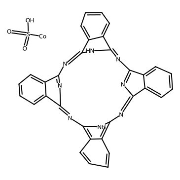 O=[S](=O)(O)[Co].c1ccc2c(c1)-c1nc-2nc2[nH]c(nc3nc(nc4[nH]c(n1)c1ccccc41)-c1ccccc1-3)c1ccccc21